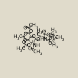 CC(=O)NC1C(OC(C)=O)[C@H](OC(C)=O)C(COC(C)=O)O[C@H]1O[C@H](C)[C@H](NC(=O)OC(C)(C)C)C(=O)O